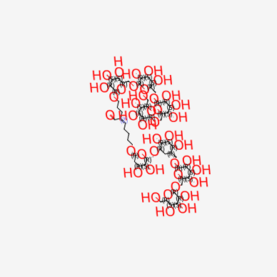 O=C/C(=C\CCCCO[C@H]1C[C@@H](O)[C@H](O)[C@@H](CO[C@@H]2C[C@H](CO[C@@H]3O[C@H](CO[C@@H]4O[C@H](CO)[C@@H](O)[C@H](O)[C@H]4O)[C@@H](O)[C@H](O)[C@H]3O)[C@@H](O)[C@H](O)[C@H]2O)O1)CCCO[C@@H]1O[C@H](CO[C@@H]2O[C@H](CO[C@@H]3O[C@H](CO[C@@H]4O[C@H](CO)[C@@H](O)[C@H](O)[C@H]4O)[C@@H](O)[C@H](O)[C@H]3O)[C@@H](O)[C@H](O)[C@H]2O)[C@@H](O)[C@H](O)[C@H]1O